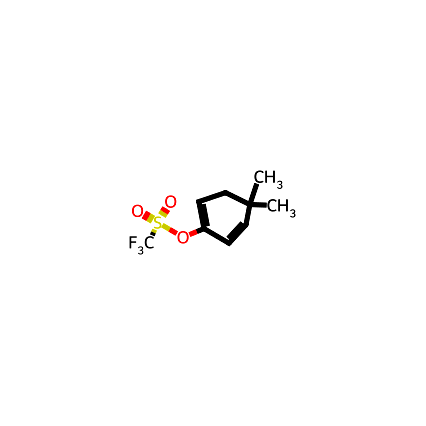 CC1(C)C=CC(OS(=O)(=O)C(F)(F)F)=CC1